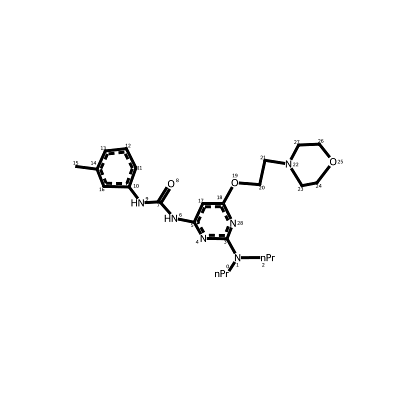 CCCN(CCC)c1nc(NC(=O)Nc2cccc(C)c2)cc(OCCN2CCOCC2)n1